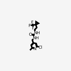 Cc1cc(CNC(=O)NCCC2(C(F)(F)F)CC2)cc(Cl)n1